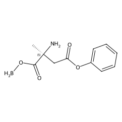 BOC(=O)[C@@](C)(N)CC(=O)Oc1ccccc1